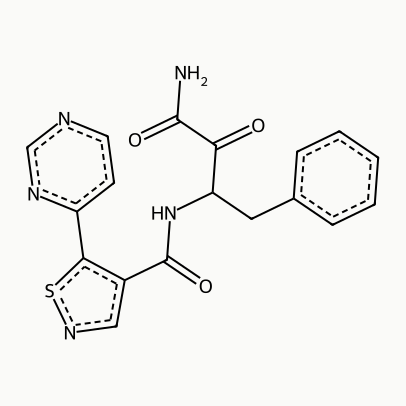 NC(=O)C(=O)C(Cc1ccccc1)NC(=O)c1cnsc1-c1ccncn1